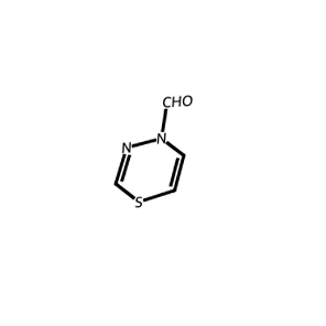 O=CN1C=CSC=N1